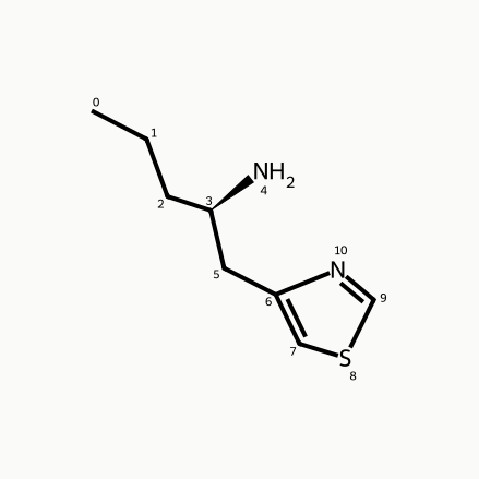 CCC[C@@H](N)Cc1cscn1